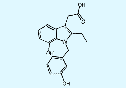 CCc1c(CC(=O)O)c2cccc(O)c2n1Cc1cccc(O)c1